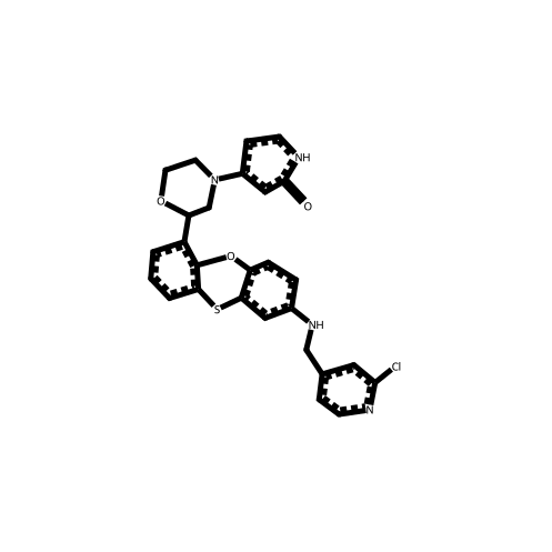 O=c1cc(N2CCOC(c3cccc4c3Oc3ccc(NCc5ccnc(Cl)c5)cc3S4)C2)cc[nH]1